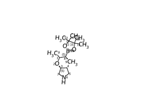 CC(O[C@H]1CCNC1)[C@H](C)B1OC(C)(C)C(C)(C)O1